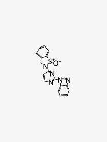 [O-][S+]1c2ccccc2CN1c1ccnc(-n2cnc3ccccc32)n1